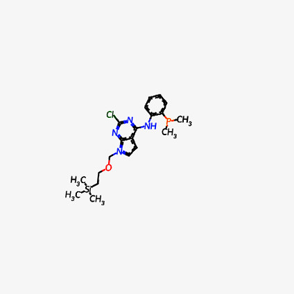 CP(C)c1ccccc1Nc1nc(Cl)nc2c1ccn2COCC[Si](C)(C)C